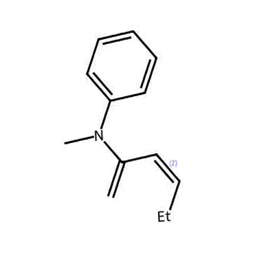 C=C(/C=C\CC)N(C)c1ccccc1